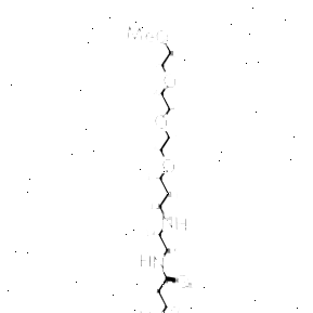 COCCOCCOCCOCCCNCCNC(=O)CCS